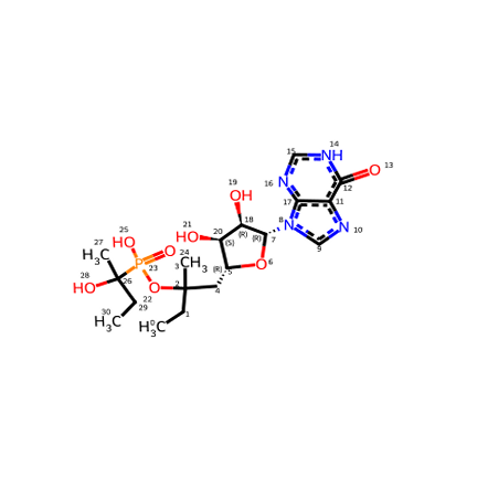 CCC(C)(C[C@H]1O[C@@H](n2cnc3c(=O)[nH]cnc32)[C@H](O)[C@@H]1O)OP(=O)(O)C(C)(O)CC